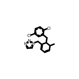 CC1C=CC=C(Cn2ccnn2)C1Cc1cc(Cl)ccc1Cl